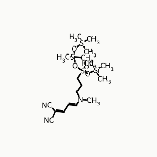 CN(/C=C/C=C(C#N)C#N)CCC[Si](C)(O[Si](C)(C)C)O[Si](C)(C)O[Si](C)(C)C